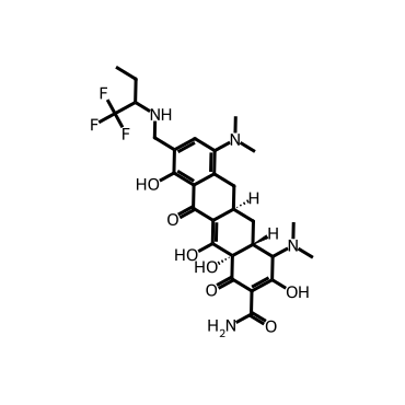 CCC(NCc1cc(N(C)C)c2c(c1O)C(=O)C1=C(O)[C@]3(O)C(=O)C(C(N)=O)=C(O)C(N(C)C)[C@H]3C[C@@H]1C2)C(F)(F)F